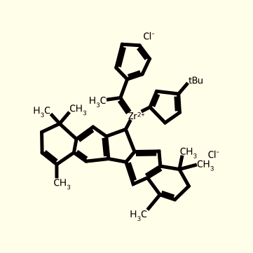 CC1=CCC(C)(C)c2cc3c(cc21)-c1cc2c(cc1[CH]3/[Zr+2]([C]1=CC(C(C)(C)C)=CC1)=[C](\C)c1ccccc1)C(C)(C)CC=C2C.[Cl-].[Cl-]